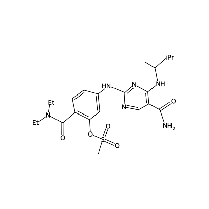 CCN(CC)C(=O)c1ccc(Nc2ncc(C(N)=O)c(NC(C)C(C)C)n2)cc1OS(C)(=O)=O